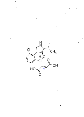 CSC1NCC(c2c(Cl)cccc2Cl)N1C.O=C(O)/C=C/C(=O)O